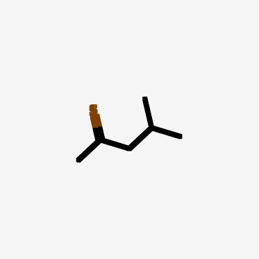 CC(=S)CC(C)C